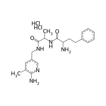 Cc1cc(CNC(=O)C(C)NC(=O)C(N)CCc2ccccc2)cnc1N.Cl.Cl